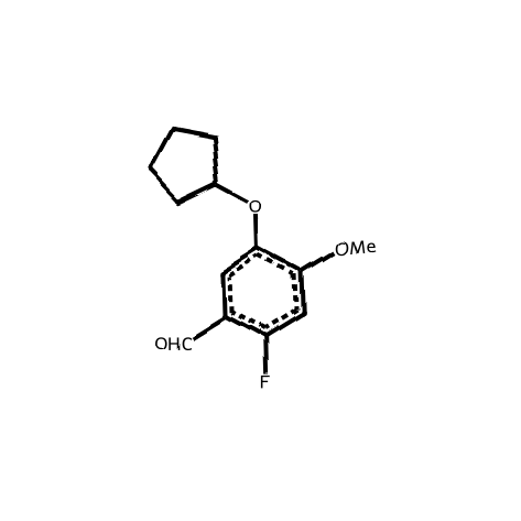 COc1cc(F)c(C=O)cc1OC1CCCC1